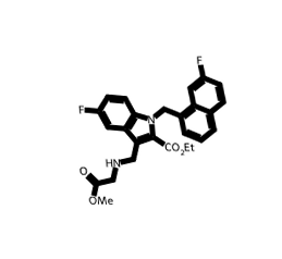 CCOC(=O)c1c(CNCC(=O)OC)c2cc(F)ccc2n1Cc1cccc2ccc(F)cc12